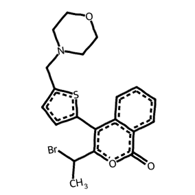 CC(Br)c1oc(=O)c2ccccc2c1-c1ccc(CN2CCOCC2)s1